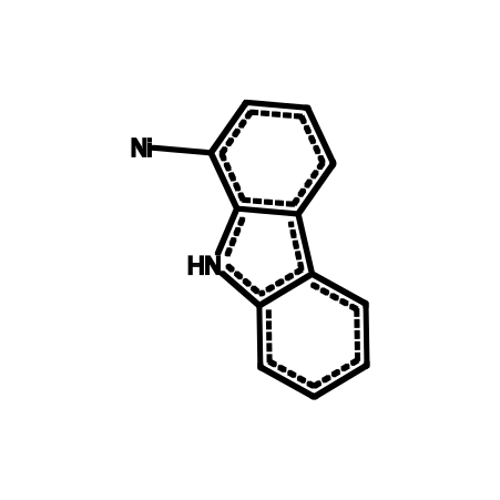 [Ni][c]1cccc2c1[nH]c1ccccc12